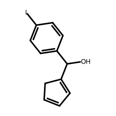 OC(C1=CC=CC1)c1ccc(I)cc1